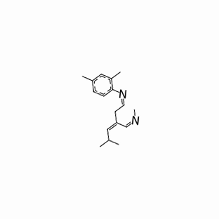 C/N=C\C(=C/C(C)C)C/C=N\c1ccc(C)cc1C